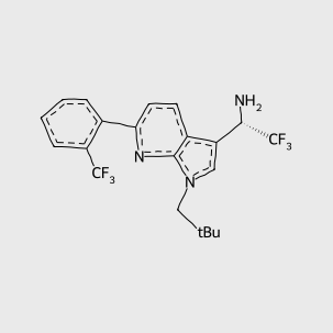 CC(C)(C)Cn1cc([C@H](N)C(F)(F)F)c2ccc(-c3ccccc3C(F)(F)F)nc21